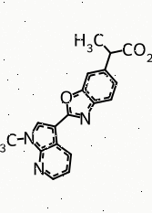 CC(C(=O)O)c1ccc2nc(-c3cn(C)c4ncccc34)oc2c1